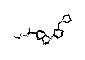 CCON=C(C)c1ccc2c(c1)ncn2-c1cccc(CN2CCCC2)c1